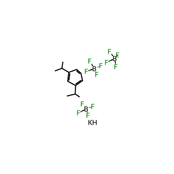 CC(C)c1cccc(C(C)C)c1.F[B-](F)(F)F.F[B-](F)(F)F.F[B-](F)(F)F.[KH]